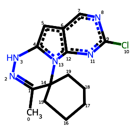 CC1=NNc2cc3cnc(Cl)nc3n2C12CCCCC2